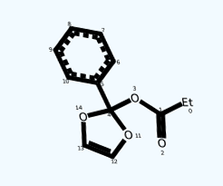 CCC(=O)OC1(c2ccccc2)OC=CO1